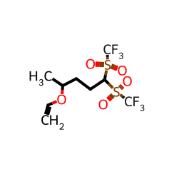 C=COC(C)CCC(S(=O)(=O)C(F)(F)F)S(=O)(=O)C(F)(F)F